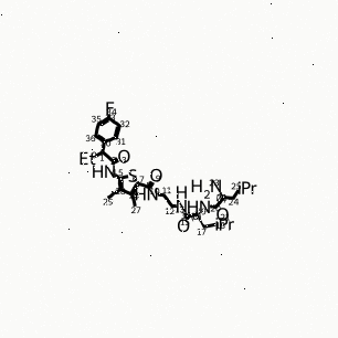 CCC(C(=O)Nc1sc(C(=O)NCCNC(=O)[C@H](CC(C)C)NC(=O)[C@@H](N)CC(C)C)c(C)c1C)c1ccc(F)cc1